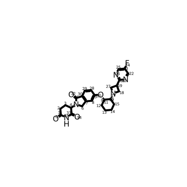 O=C1CCC(N2Cc3cc(O[C@@H]4CCCC[C@@H]4N4CC(c5ncc(F)cn5)C4)ccc3C2=O)C(=O)N1